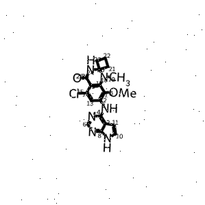 COc1c(Nc2ncnc3[nH]ccc23)cc(Cl)c2c1N(C)C1(CCC1)NC2=O